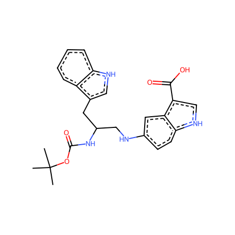 CC(C)(C)OC(=O)NC(CNc1ccc2[nH]cc(C(=O)O)c2c1)Cc1c[nH]c2ccccc12